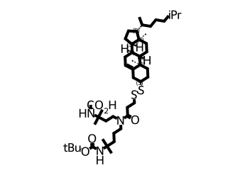 CC(C)CCCC(C)[C@H]1CC[C@H]2[C@@H]3CC=C4C[C@@H](SSCCC(=O)N(CCCC(C)(C)NC(=O)OC(C)(C)C)CCC(C)(C)NC(=O)O)CC[C@]4(C)[C@H]3CC[C@]12C